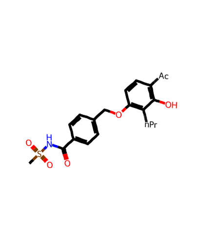 CCCc1c(OCc2ccc(C(=O)NS(C)(=O)=O)cc2)ccc(C(C)=O)c1O